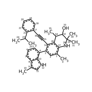 Cc1cc(-c2cccc3c(C)c[nH]c23)c(C#Cc2ccccc2C(C)C)c2c1NC(C)(C)C(O)C2C